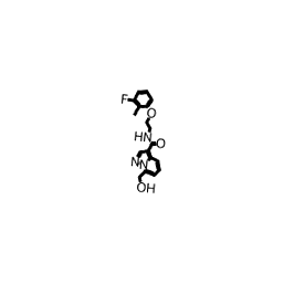 Cc1c(F)cccc1OCCNC(=O)c1cnn2c(CO)cccc12